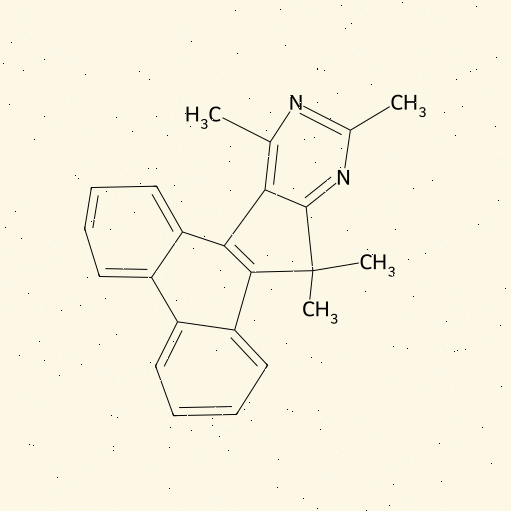 Cc1nc(C)c2c(n1)C(C)(C)c1c-2c2ccccc2c2ccccc12